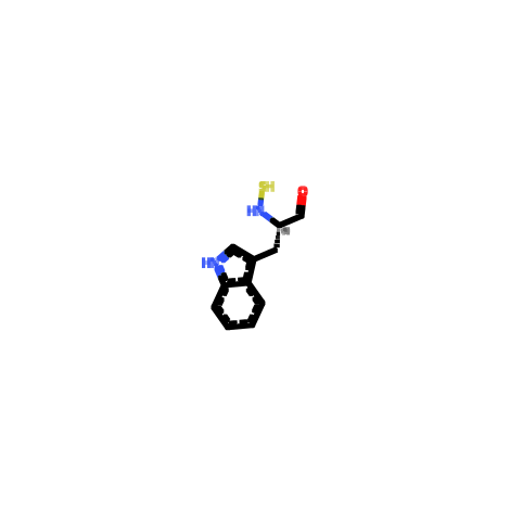 O=C[C@H](Cc1c[nH]c2ccccc12)NS